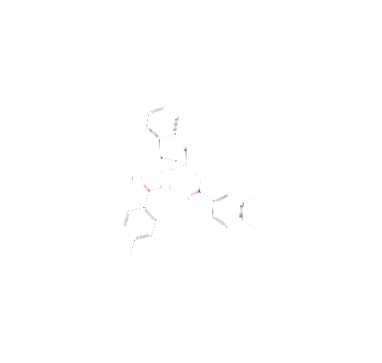 Cc1ccc(C(=O)O[C@@H]2C3CC(c4ccccc43)[C@@H]2OC(=O)c2ccc(C)c(C)c2)cc1C